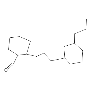 CCCC1CCCC(CCCC2CCCCC2C=O)C1